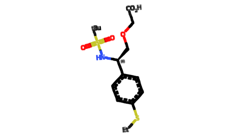 CCSc1ccc([C@H](COCC(=O)O)NS(=O)(=O)C(C)(C)C)cc1